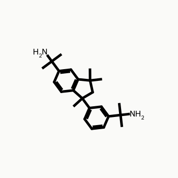 CC(C)(N)c1cccc(C2(C)CC(C)(C)c3cc(C(C)(C)N)ccc32)c1